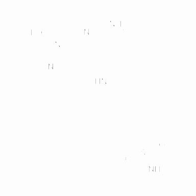 Cn1ncc2c(NCc3ccc(S(N)(=O)=O)cc3)cc(N)nc21